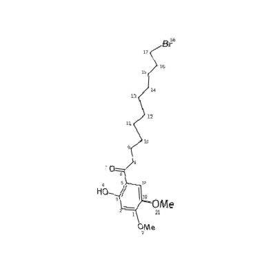 COc1cc(O)c(C(=O)CCCCCCCCCCBr)cc1OC